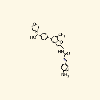 Nc1ccc(/C=C/C(=O)NCc2cc3cc(-c4ccc(C(O)N5CCOCC5)cc4)cc(C(F)(F)F)c3o2)cn1